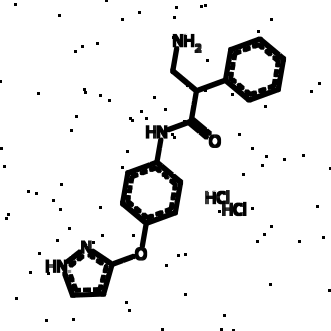 Cl.Cl.NCC(C(=O)Nc1ccc(Oc2cc[nH]n2)cc1)c1ccccc1